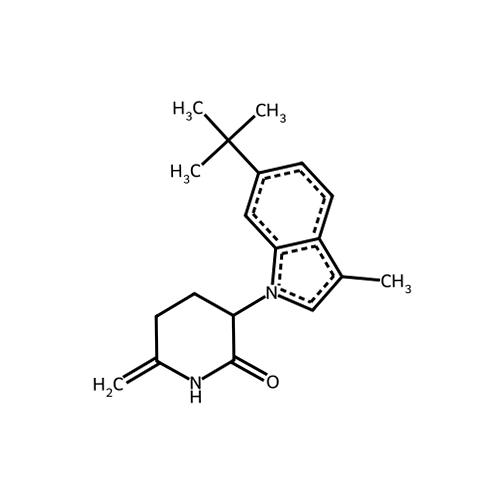 C=C1CCC(n2cc(C)c3ccc(C(C)(C)C)cc32)C(=O)N1